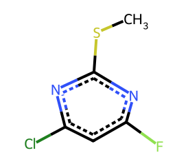 CSc1nc(F)cc(Cl)n1